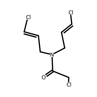 O=C(CCl)N(CC=CCl)CC=CCl